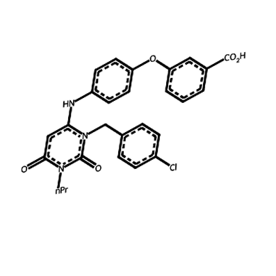 CCCn1c(=O)cc(Nc2ccc(Oc3cccc(C(=O)O)c3)cc2)n(Cc2ccc(Cl)cc2)c1=O